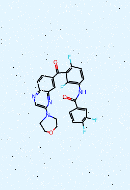 O=C(Nc1ccc(F)c(C(=O)c2ccc3ncc(N4CCOCC4)nc3c2)c1F)c1ccc(F)c(F)c1